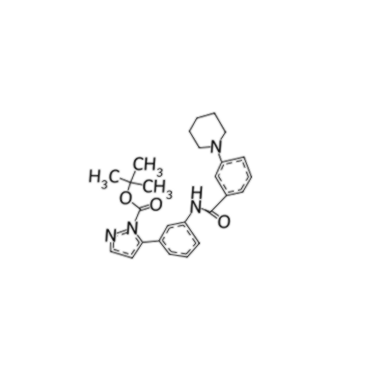 CC(C)(C)OC(=O)n1nccc1-c1cccc(NC(=O)c2cccc(N3CCCCC3)c2)c1